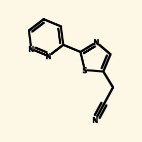 N#CCc1cnc(-c2cccnn2)s1